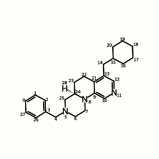 c1ccc(CN2CCN3c4cncc(CC5CCCCC5)c4CC[C@@H]3C2)cc1